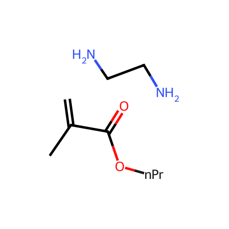 C=C(C)C(=O)OCCC.NCCN